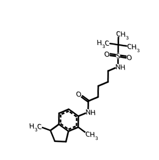 Cc1c(NC(=O)CCCCNS(=O)(=O)C(C)(C)C)ccc2c1CCC2C